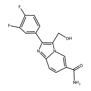 NC(=O)c1ccc2nc(-c3ccc(F)c(F)c3)c(CO)n2c1